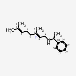 CC(C)=CCC/C(C)=C/CNC(C)c1ccccc1